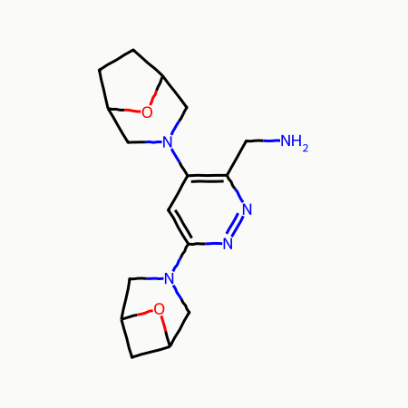 NCc1nnc(N2CC3CC(C2)O3)cc1N1CC2CCC(C1)O2